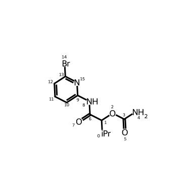 CC(C)C(OC(N)=O)C(=O)Nc1cccc(Br)n1